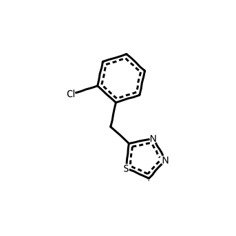 Clc1ccccc1Cc1nn[c]s1